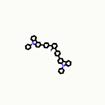 Ic1c(-c2ccc(-c3ccc4c(c3)c3ccccc3n4-c3ccccc3)cc2)cccc1-c1ccc(-c2ccc3c(c2)c2ccccc2n3-c2ccccc2)cc1